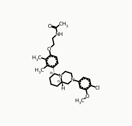 COc1cc(N2CCN3[C@@H](CCC[C@@H]3c3ccc(OCCNC(C)=O)c(C)c3C)C2)ccc1Cl